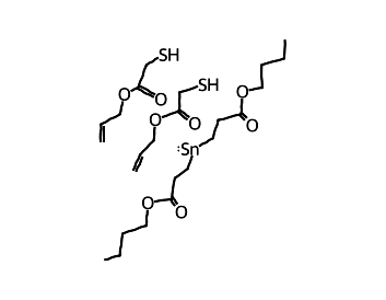 C=CCOC(=O)CS.C=CCOC(=O)CS.CCCCOC(=O)C[CH2][Sn][CH2]CC(=O)OCCCC